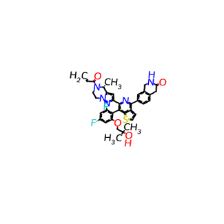 C=CC(=O)N1CCn2nc(-c3nc(-c4ccc5c(c4)CNC(=O)C5)c4ccsc4c3-c3c(F)cc(F)cc3OCC(C)(C)O)cc2[C@H]1C